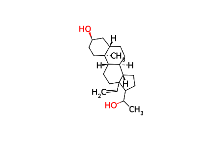 C=CC12CC[C@H]3[C@@H](CC[C@H]4C[C@H](O)CC[C@@]43C)[C@@H]1CCC2C(C)O